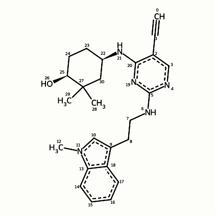 C#Cc1cnc(NCCc2cn(C)c3ccccc23)nc1N[C@@H]1CC[C@H](O)C(C)(C)C1